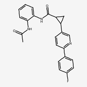 CC(=O)Nc1ccccc1NC(=O)C1CC1c1ccc(-c2ccc(F)cc2)nc1